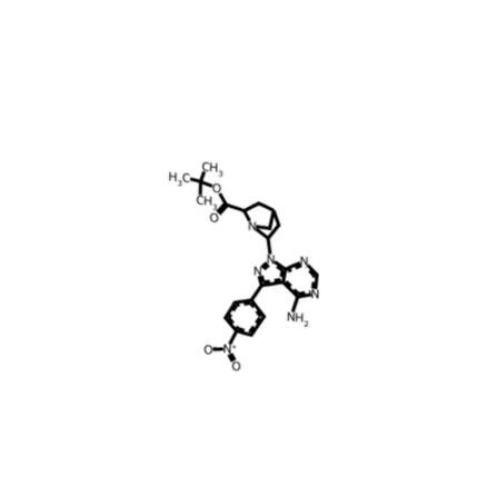 CC(C)(C)OC(=O)C1CC2CC(n3nc(-c4ccc([N+](=O)[O-])cc4)c4c(N)ncnc43)N1C2